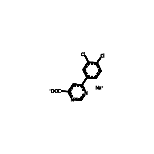 O=C([O-])c1cc(-c2ccc(Cl)c(Cl)c2)ncn1.[Na+]